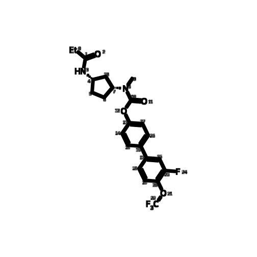 CCC(=O)N[C@H]1CC[C@@H](N(C)C(=O)Oc2ccc(-c3ccc(OC(F)(F)F)c(F)c3)cc2)C1